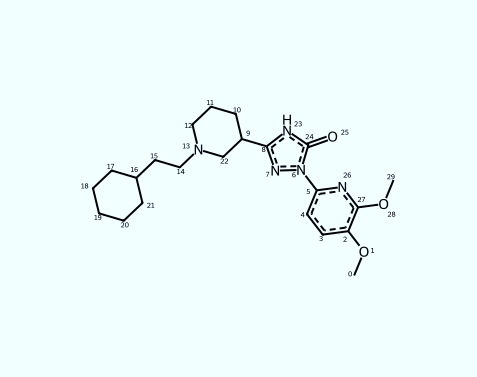 COc1ccc(-n2nc(C3CCCN(CCC4CCCCC4)C3)[nH]c2=O)nc1OC